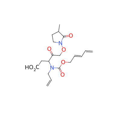 C=CC=CCOC(=O)N(CC=C)C(CC(=O)O)C(=O)CON1CCC(C)C1=O